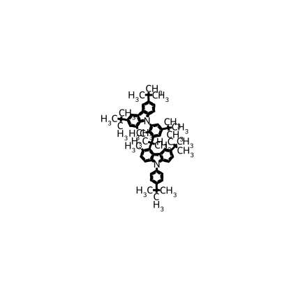 Cc1ccc2c(c1C(C)(C)c1cc(C(C)(C)C)cc(-n3c4ccc(C(C)(C)C)cc4c4cc(C(C)(C)C)cc(C)c43)c1C)c1cc(C(C)(C)C)ccc1n2-c1ccc(C(C)(C)C)cc1